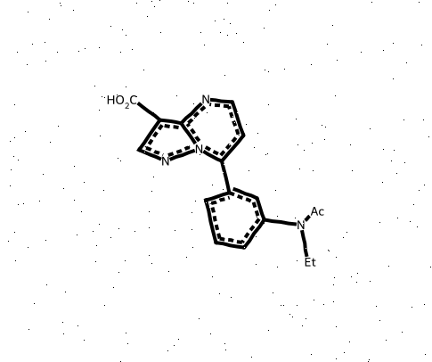 CCN(C(C)=O)c1cccc(-c2ccnc3c(C(=O)O)cnn23)c1